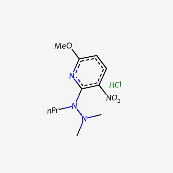 CCCN(c1nc(OC)ccc1[N+](=O)[O-])N(C)C.Cl